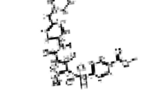 COC(=O)c1ccc(NS(=O)(=O)c2c(Br)sc(C(=O)Nc3ccc(CN4CCOCC4)cc3)c2C)cc1